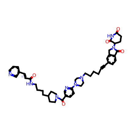 O=C(/C=C/c1cccnc1)NCCCCC1CCN(C(=O)c2ccc(N3CCN(CCCCC#Cc4ccc5c(c4)CN(C4CCC(=O)NC4=O)C5=O)CC3)nc2)CC1